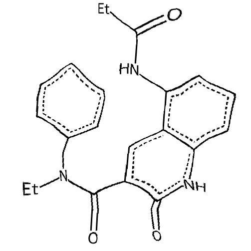 CCC(=O)Nc1cccc2[nH]c(=O)c(C(=O)N(CC)c3ccccc3)cc12